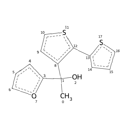 CC(O)(c1ccco1)c1ccsc1-c1cccs1